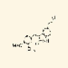 COc1ccc(C=C2C(=O)Nc3ccc(CCCl)cc32)cc1C